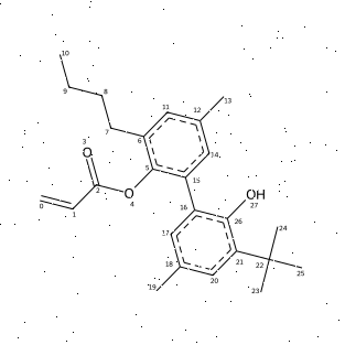 C=CC(=O)Oc1c(CCCC)cc(C)cc1-c1cc(C)cc(C(C)(C)C)c1O